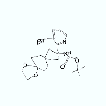 CC(C)(C)OC(=O)NC1(c2ncccc2Br)CC2(CCC3(CC2)OCCO3)C1